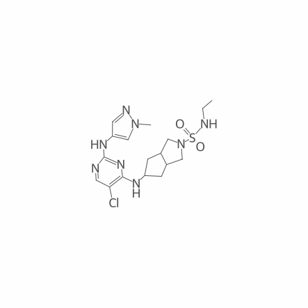 CCNS(=O)(=O)N1CC2CC(Nc3nc(Nc4cnn(C)c4)ncc3Cl)CC2C1